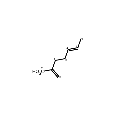 C=C(CC/C=C/C)C(=O)O